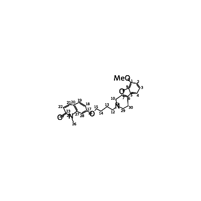 COc1cccc2c3c(oc12)CN(CCCCOc1ccc2ccc(=O)n(C)c2c1)CC3